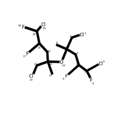 CC(CCl)(CC(F)C(F)Cl)OC(C)(CCl)CC(F)C(F)Cl